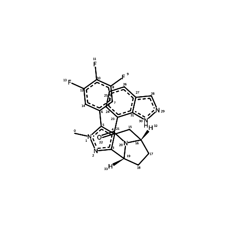 Cn1nc2c(c1-c1cc(F)c(F)c(F)c1)C[C@@H]1CC[C@H]2N1C(=O)c1cccc2cn[nH]c12